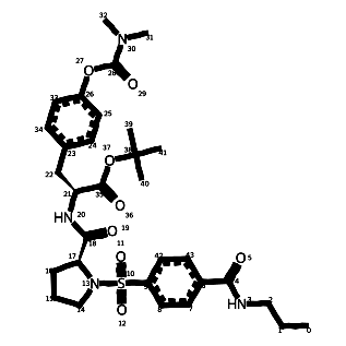 CCCNC(=O)c1ccc(S(=O)(=O)N2CCC[C@H]2C(=O)N[C@@H](Cc2ccc(OC(=O)N(C)C)cc2)C(=O)OC(C)(C)C)cc1